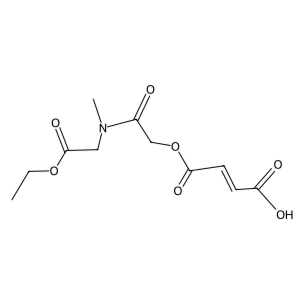 CCOC(=O)CN(C)C(=O)COC(=O)/C=C/C(=O)O